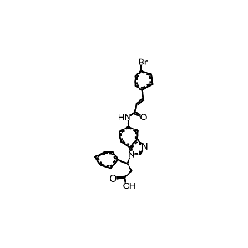 O=C(O)CC(c1ccccc1)n1cnc2cc(NC(=O)/C=C/c3ccc(Br)cc3)ccc21